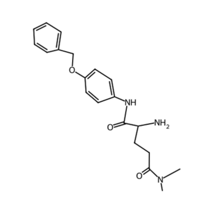 CN(C)C(=O)CCC(N)C(=O)Nc1ccc(OCc2ccccc2)cc1